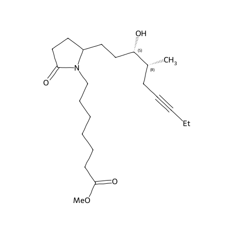 CCC#CC[C@@H](C)[C@@H](O)CCC1CCC(=O)N1CCCCCCC(=O)OC